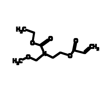 C=CC(=O)OCCN(COC)C(=O)OCC